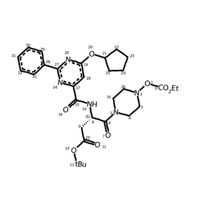 CCOC(=O)ON1CCN(C(=O)[C@H](CC(=O)OC(C)(C)C)NC(=O)c2cc(OC3CCCC3)nc(-c3ccccc3)n2)CC1